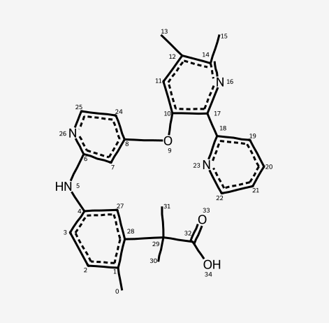 Cc1ccc(Nc2cc(Oc3cc(C)c(C)nc3-c3ccccn3)ccn2)cc1C(C)(C)C(=O)O